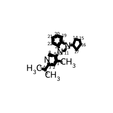 Cc1cc(C(C)C)ncc1N1CN(C2CCCC2)c2ccccc21